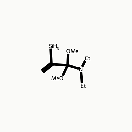 C=C([SiH3])C(OC)(OC)N(CC)CC